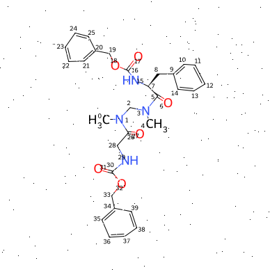 CN(CN(C)C(=O)[C@H](Cc1ccccc1)NC(=O)OCc1ccccc1)C(=O)CNC(=O)OCc1ccccc1